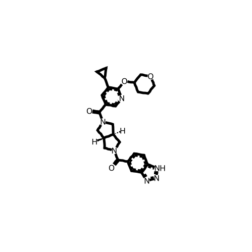 O=C(c1cnc(OC2CCCOC2)c(C2CC2)c1)N1C[C@H]2CN(C(=O)c3ccc4[nH]nnc4c3)C[C@@H]2C1